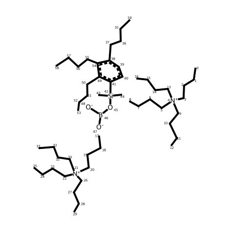 CCCC[N+](CCCC)(CCCC)CCCC.CCCC[N+](CCCC)(CCCC)CCCC.CCCCc1ccc([Si](C)(C)OB([O-])[O-])c(CCCC)c1CCCC